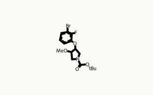 COC1CN(C(=O)OC(C)(C)C)CC1Oc1cccc(Br)c1F